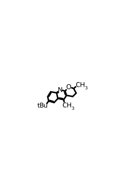 Cc1c2c(nc3ccc(C(C)(C)C)cc13)OC(C)CC2